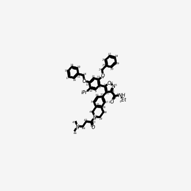 CCNC(=O)c1noc(-c2cc(C(C)C)c(OCc3ccccc3)cc2OCc2ccccc2)c1-c1ccc2c(c1)CCN(C(=O)CCN(C)C)C2